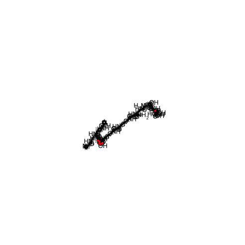 Cc1ccccc1NC(=O)Nc1ccc(CC(=O)N[C@@H](CCCCNC(=O)/C=C/c2cccnc2)C(=O)N[C@@H](CCCC(=O)O)C(=O)NC2(C(=O)NCCOCCOCCNC(=O)CCC(=O)NCCOCCOCCNC(=O)CCC(=O)N[C@@H](CCCCNC(=O)[C@H](N)CSC3CC(O)N(CC(=O)NCCCC(O)(P(=O)(O)O)P(=O)(O)O)C3=O)C(N)=O)CCCCC2)cc1